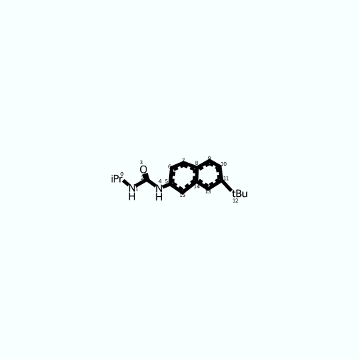 CC(C)NC(=O)Nc1ccc2ccc(C(C)(C)C)cc2c1